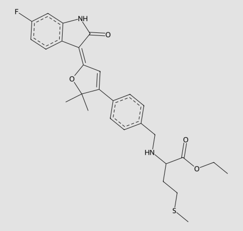 CCOC(=O)C(CCSC)NCc1ccc(C2=C/C(=C3\C(=O)Nc4cc(F)ccc43)OC2(C)C)cc1